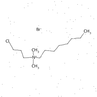 CCCCCCCC[N+](C)(C)CCCCl.[Br-]